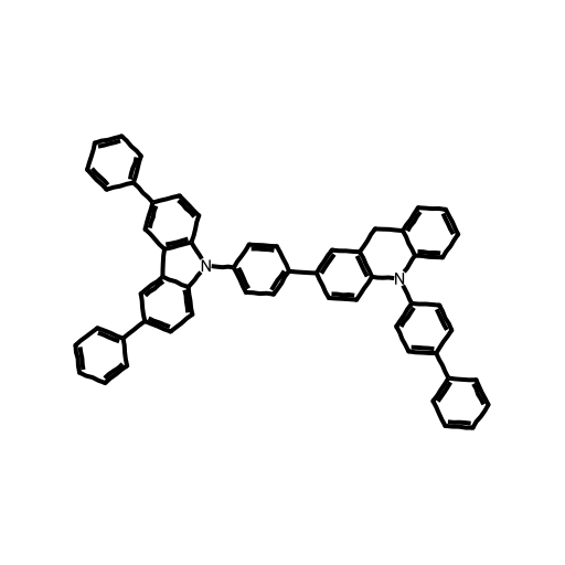 c1ccc(-c2ccc(N3c4ccccc4Cc4cc(-c5ccc(-n6c7ccc(-c8ccccc8)cc7c7cc(-c8ccccc8)ccc76)cc5)ccc43)cc2)cc1